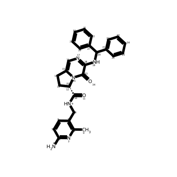 Cc1nc(N)ccc1CNC(=O)[C@@H]1CCc2cnc(NC(c3ccccc3)c3ccccc3)c(=O)n21